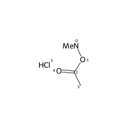 CNOC(C)=O.Cl